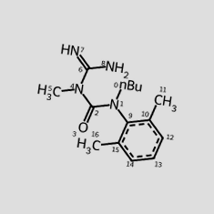 CCCCN(C(=O)N(C)C(=N)N)c1c(C)cccc1C